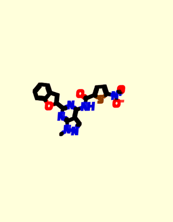 Cn1ncc2c(NC(=O)c3ccc([N+](=O)[O-])s3)nc(-c3cc4ccccc4o3)nc21